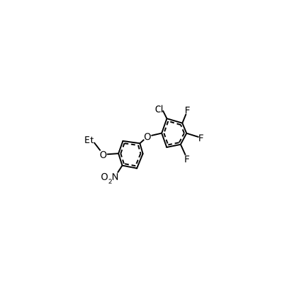 CCOc1cc(Oc2cc(F)c(F)c(F)c2Cl)ccc1[N+](=O)[O-]